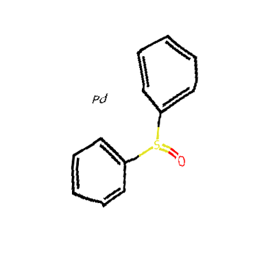 O=S(c1ccccc1)c1ccccc1.[Pd]